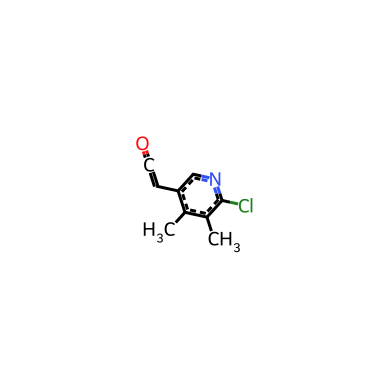 Cc1c(C=C=O)cnc(Cl)c1C